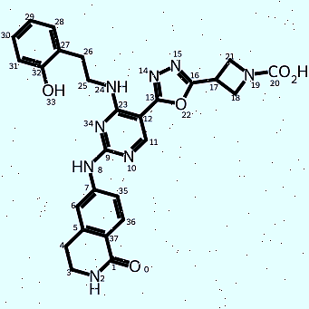 O=C1NCCc2cc(Nc3ncc(-c4nnc(C5CN(C(=O)O)C5)o4)c(NCCc4ccccc4O)n3)ccc21